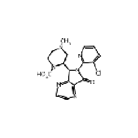 CN1CCN(C(=O)O)C(C2c3nccnc3C(=O)N2c2ncccc2Cl)C1